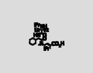 CCC(CC)(NC(C)C)C(=O)N[C@H](C(=O)N(C)[C@H](/C=C(\C)C(=O)O)C(C)C)C1CCCCC1